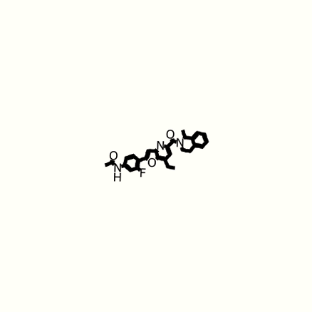 CCc1cc(C(=O)N2CCc3ccccc3C2C)nc2cc(-c3ccc(NC(C)=O)cc3F)oc12